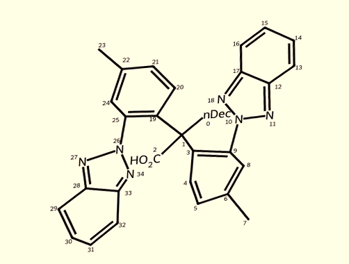 CCCCCCCCCCC(C(=O)O)(c1ccc(C)cc1-n1nc2ccccc2n1)c1ccc(C)cc1-n1nc2ccccc2n1